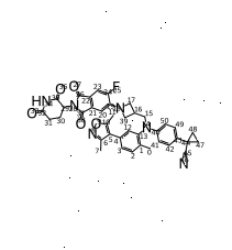 Cc1ccc(-c2c(C)noc2C)cc1N(CC1CN(c2cc3c(cc2F)C(=O)N(C2CCC(=O)NC2=O)C3=O)C1)c1ccc(C2(C#N)CC2)cc1